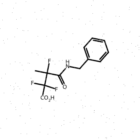 CC(F)(C(=O)NCc1ccccc1)C(F)(F)C(=O)O